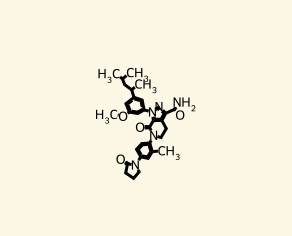 COc1cc(C(C)CC(C)C)cc(-n2nc(C(N)=O)c3c2C(=O)N(c2ccc(N4CCCC4=O)cc2C)CC3)c1